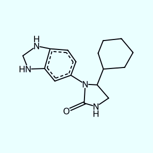 O=C1NCC(C2CCCCC2)N1c1ccc2c(c1)NCN2